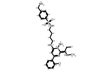 CB/C(CI)=C1\N=C(c2ccccc2Cl)C=C(NCCCCNS(=O)(=O)c2ccc(CN)cc2)N1N